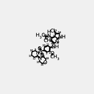 COc1cc(S(=O)(=O)N2CCCCC2N2CCOCC2)ccc1Nc1cc(NC(C)C)c2c(Cl)c[nH]c2n1